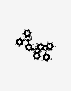 c1ccc(-n2c(-c3cccc(-n4c5ccccc5c5c4ccc4c6ccccc6n(-c6ccccc6)c45)c3)nc3ccccc32)cc1